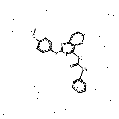 COc1ccc(Oc2nc(NC(=O)Nc3ccccc3)c3ccccc3n2)cc1